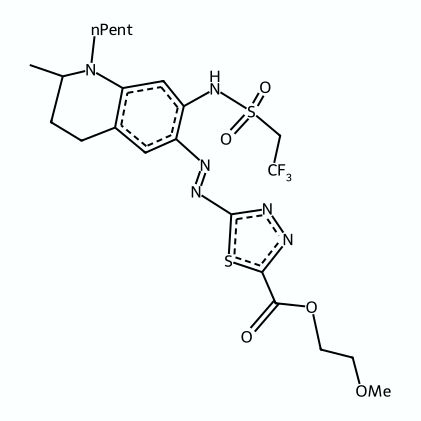 CCCCCN1c2cc(NS(=O)(=O)CC(F)(F)F)c(N=Nc3nnc(C(=O)OCCOC)s3)cc2CCC1C